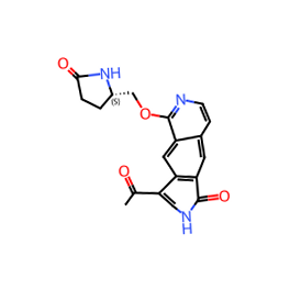 CC(=O)c1c[nH]c(=O)c2cc3ccnc(OC[C@@H]4CCC(=O)N4)c3cc12